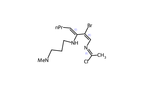 CCC/C=C(NCCCNC)/C(Br)=C\N=C(/C)Cl